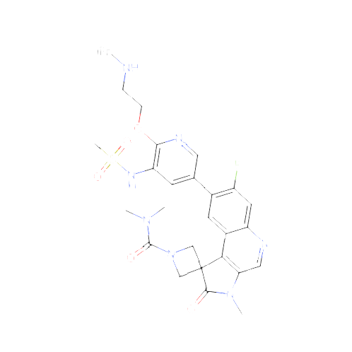 CC(C)NCCOc1ncc(-c2cc3c4c(cnc3cc2F)N(C)C(=O)C42CN(C(=O)N(C)C)C2)cc1NS(C)(=O)=O